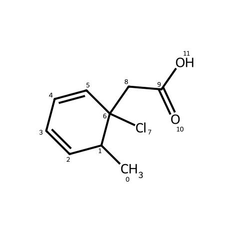 CC1C=CC=CC1(Cl)CC(=O)O